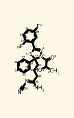 CC(O)C(=O)N1N=C(c2cc(F)ccc2F)SC1(CCCC(N)=NC#N)c1ccccc1